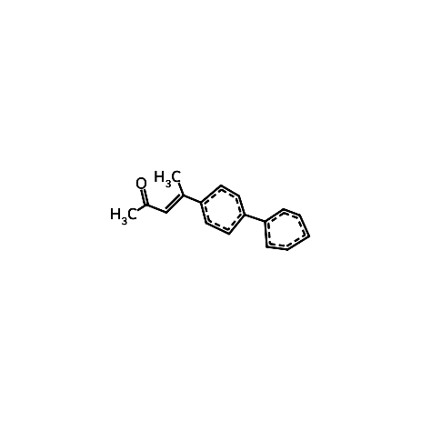 CC(=O)C=C(C)c1ccc(-c2ccccc2)cc1